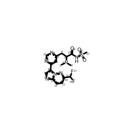 CN(C)C(Cc1cc(-c2cnc3ccc(C(F)F)nn23)ncn1)C(=O)NS(C)(=O)=O